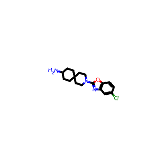 NC1CCC2(CC1)CCN(c1nc3cc(Cl)ccc3o1)CC2